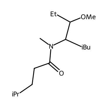 CCC(C)C(C(CC)OC)N(C)C(=O)CCC(C)C